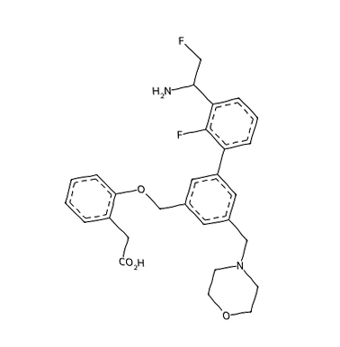 NC(CF)c1cccc(-c2cc(COc3ccccc3CC(=O)O)cc(CN3CCOCC3)c2)c1F